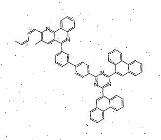 C/C=C\C=C/c1nc2c(cc1C)c(-c1cccc(-c3ccc(-c4nc(-c5cc6ccccc6c6ccccc56)nc(-c5cc6ccccc6c6ccccc56)n4)cc3)c1)nc1ccccc12